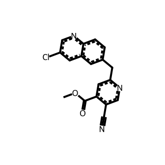 COC(=O)c1cc(Cc2ccc3ncc(Cl)cc3c2)ncc1C#N